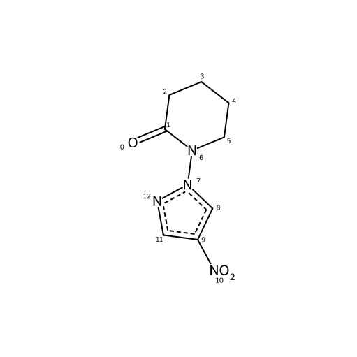 O=C1CCCCN1n1cc([N+](=O)[O-])cn1